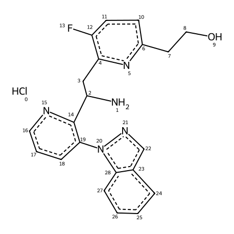 Cl.NC(Cc1nc(CCO)ccc1F)c1ncccc1-n1ncc2ccccc21